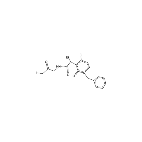 CCC(C(=O)NCC(=O)CI)c1c(C)ccn(Cc2ccccc2)c1=O